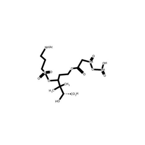 CC(=O)NCCCS(=O)(=O)OC(CCOC(=O)C[PH](=O)O[PH](=O)O)C(C)(C)[C@@H](O)C(=O)O